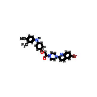 CN(c1ccc(C#N)c(C(F)(F)F)c1)C1CCC(OCC(=O)N2CCN(c3ccc4cc(Br)ccc4n3)CC2)CC1